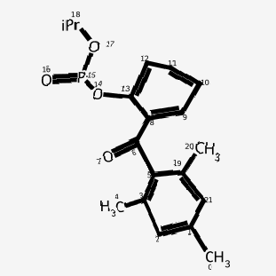 Cc1cc(C)c(C(=O)c2ccccc2O[P](=O)OC(C)C)c(C)c1